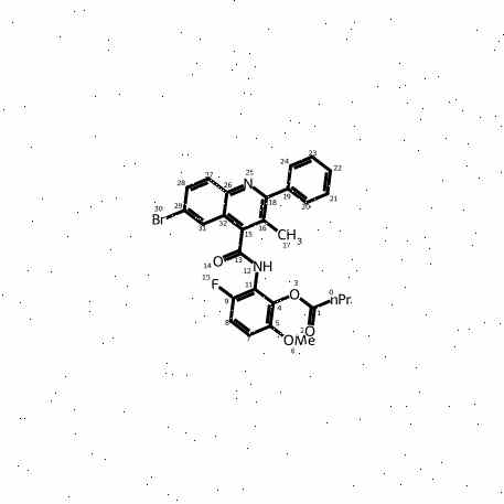 CCCC(=O)Oc1c(OC)ccc(F)c1NC(=O)c1c(C)c(-c2ccccc2)nc2ccc(Br)cc12